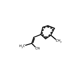 C/C(C#N)=C/c1cccc(C)c1